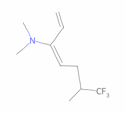 C=C/C(=C\CC(C)C(F)(F)F)N(C)C